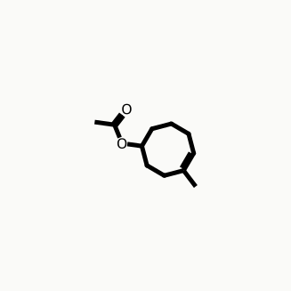 CC(=O)OC1CCC/C=C(/C)CC1